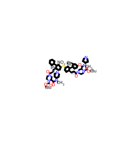 CC(C)c1ccccc1-c1c(/C=C/C(=O)N2CCN(C(=O)OC(C)(C)C)C(C(=O)N(C)c3ccncc3)C2)ccc(Sc2ccc(/C=C/C(=O)N3CCN(C(=O)OC(C)(C)C)C(C(=O)N(C)c4ccncc4)C3)c(-c3ccccc3C(C)C)c2[N+](=O)[O-])c1[N+](=O)[O-]